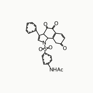 CC(=O)Nc1ccc(S(=O)(=O)N2C=C(c3ccccc3)C3C(=O)C(=O)C4=C(CC(=O)C=C4)C32)cc1